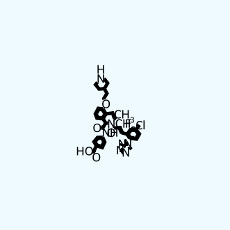 CC1(C)Cc2c(OCCC3CCNCC3)cccc2C(C(=O)Nc2ccc(C(=O)O)cc2)N1C(=O)/C=C/c1c(-n2cnnn2)ccc(Cl)c1F